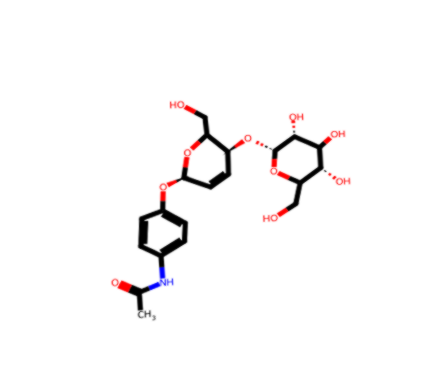 CC(=O)Nc1ccc(O[C@@H]2C=C[C@H](O[C@H]3OC(CO)[C@@H](O)C(O)[C@H]3O)C(CO)O2)cc1